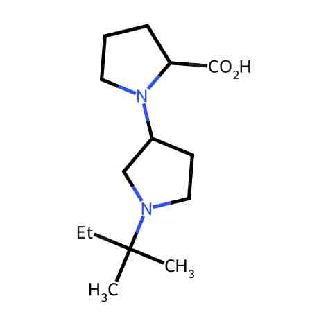 CCC(C)(C)N1CCC(N2CCCC2C(=O)O)C1